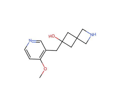 COc1ccncc1CC1(O)CC2(CNC2)C1